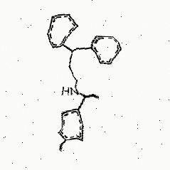 Cc1ccc(C(C)NCCC(c2ccccc2)c2ccccc2)cc1